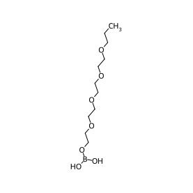 CCCOCCOCCOCCOCCOB(O)O